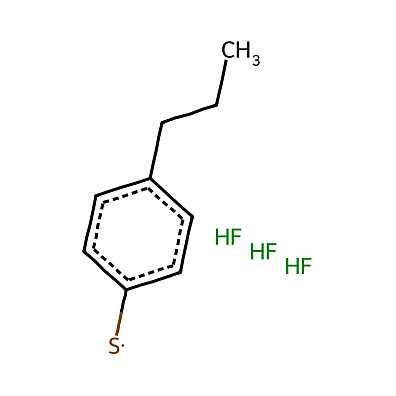 CCCc1ccc([S])cc1.F.F.F